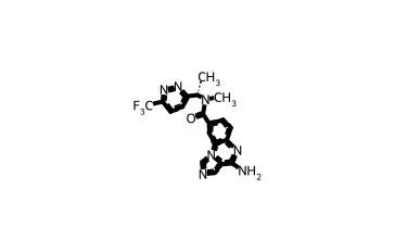 C[C@@H](c1ccc(C(F)(F)F)nn1)N(C)C(=O)c1ccc2nc(N)c3cncn3c2c1